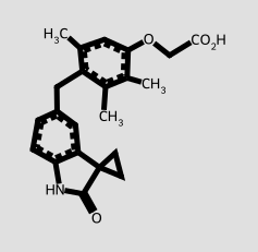 Cc1cc(OCC(=O)O)c(C)c(C)c1Cc1ccc2c(c1)C1(CC1)C(=O)N2